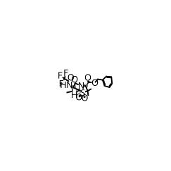 CC[C@@]1(NC(=O)C(F)(F)F)C(=O)N2[C@@H](C(=O)OCc3ccccc3)C(C)(C)S(=O)(=O)[C@@H]21